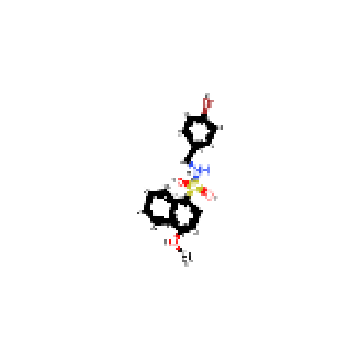 CCOc1ccc(S(=O)(=O)NCc2ccc(Br)cc2)c2ccccc12